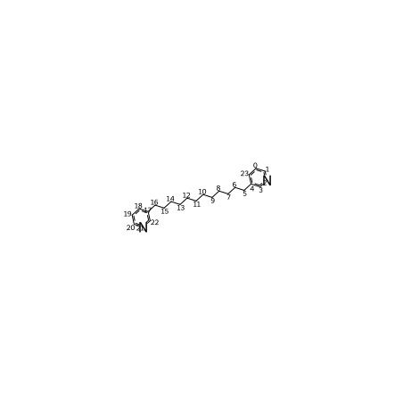 c1cncc(CCCCCCCCCCCCc2cccnc2)c1